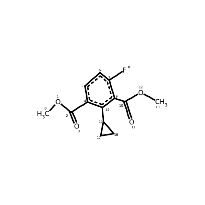 COC(=O)c1ccc(F)c(C(=O)OC)c1C1CC1